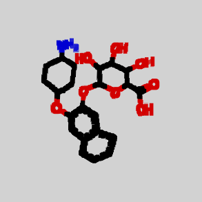 NC1CCC(Oc2cc3ccccc3cc2OC2OC(C(=O)O)C(O)C(O)C2O)CC1